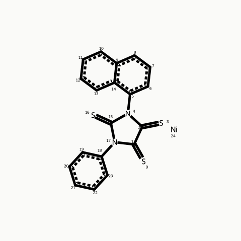 S=C1C(=S)N(c2cccc3ccccc23)C(=S)N1c1ccccc1.[Ni]